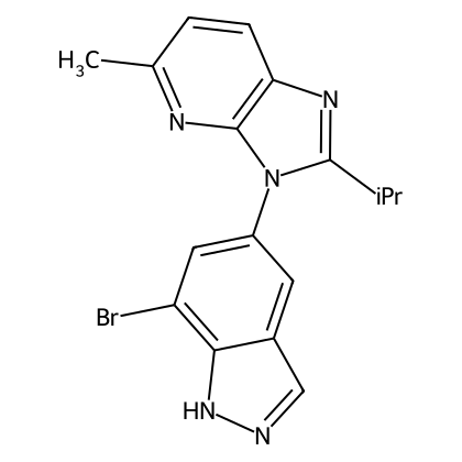 Cc1ccc2nc(C(C)C)n(-c3cc(Br)c4[nH]ncc4c3)c2n1